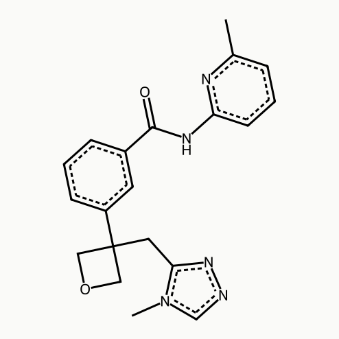 Cc1cccc(NC(=O)c2cccc(C3(Cc4nncn4C)COC3)c2)n1